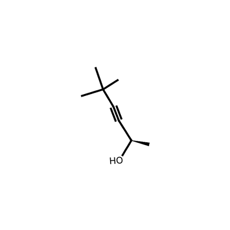 C[C@@H](O)C#CC(C)(C)C